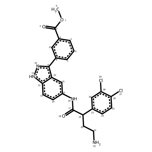 COC(=O)c1cccc(-c2n[nH]c3ccc(NC(=O)C(CCN)c4ccc(Cl)c(Cl)c4)cc23)c1